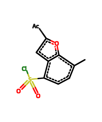 CC(=O)c1cc2c(S(=O)(=O)Cl)ccc(C)c2o1